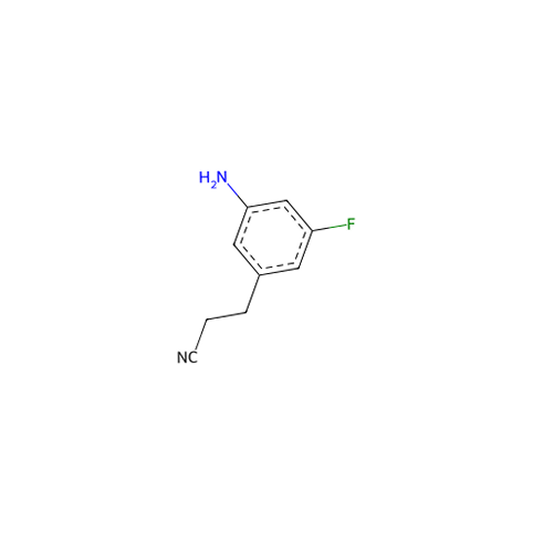 N#CCCc1cc(N)cc(F)c1